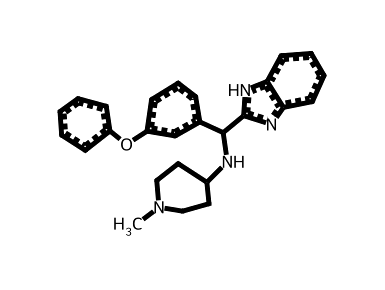 CN1CCC(NC(c2cccc(Oc3ccccc3)c2)c2nc3ccccc3[nH]2)CC1